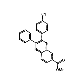 COC(=O)c1ccc2nc(-c3ccccc3)c(-c3ccc(C#N)cc3)nc2c1